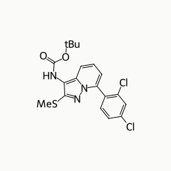 CSc1nn2c(-c3ccc(Cl)cc3Cl)cccc2c1NC(=O)OC(C)(C)C